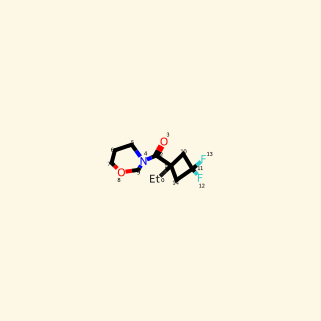 CCC1(C(=O)N2CCCOC2)CC(F)(F)C1